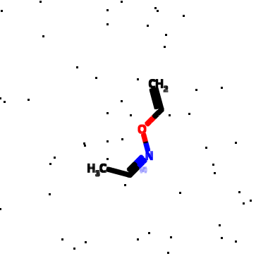 C=CO/N=C\C